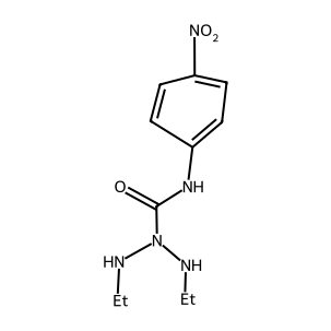 CCNN(NCC)C(=O)Nc1ccc([N+](=O)[O-])cc1